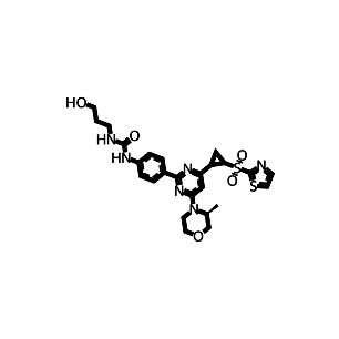 C[C@H]1COCCN1c1cc(C2CC2S(=O)(=O)c2nccs2)nc(-c2ccc(NC(=O)NCCCO)cc2)n1